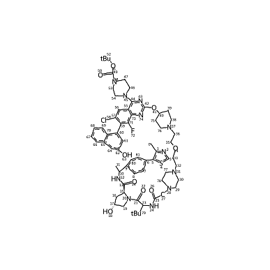 Cc1ncsc1-c1ccc(C(C)NC(=O)[C@@H]2C[C@@H](O)CN2C(=O)C(NC(=O)CN2CCN(CCOCCN3CCC(Oc4nc(N5CCN(C(=O)OC(C)(C)C)CC5)c5cc(Cl)c(-c6cc(O)cc7ccccc67)c(F)c5n4)CC3)CC2)C(C)(C)C)cc1